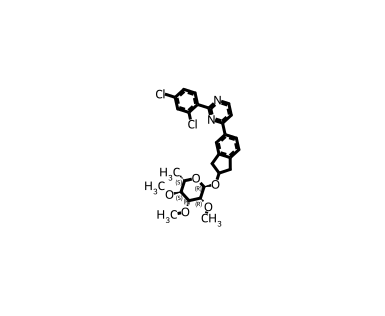 CO[C@@H]1[C@@H](OC)[C@H](C)O[C@@H](OC2Cc3ccc(-c4ccnc(-c5ccc(Cl)cc5Cl)n4)cc3C2)[C@@H]1OC